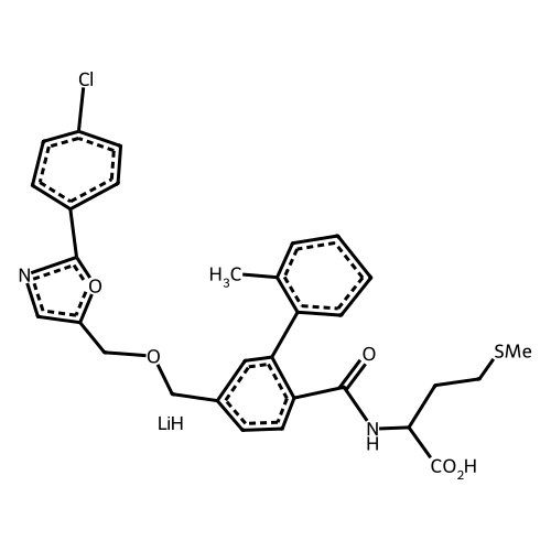 CSCCC(NC(=O)c1ccc(COCc2cnc(-c3ccc(Cl)cc3)o2)cc1-c1ccccc1C)C(=O)O.[LiH]